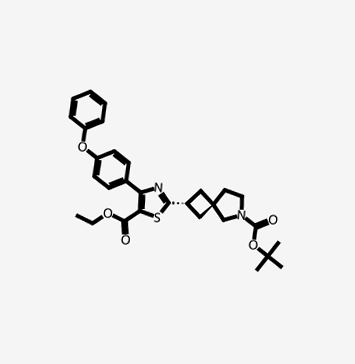 CCOC(=O)c1sc([C@H]2C[C@]3(CCN(C(=O)OC(C)(C)C)C3)C2)nc1-c1ccc(Oc2ccccc2)cc1